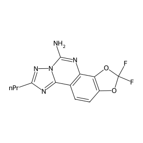 CCCc1nc2c3ccc4c(c3nc(N)n2n1)OC(F)(F)O4